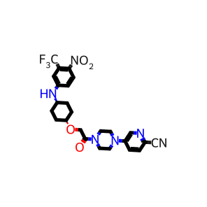 N#Cc1ccc(N2CCN(C(=O)CO[C@H]3CC[C@H](Nc4ccc([N+](=O)[O-])c(C(F)(F)F)c4)CC3)CC2)cn1